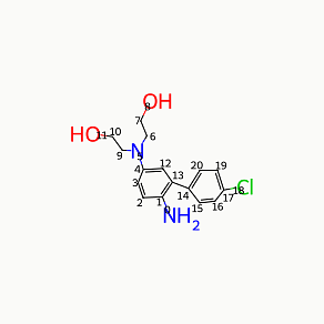 Nc1ccc(N(CCO)CCO)cc1-c1ccc(Cl)cc1